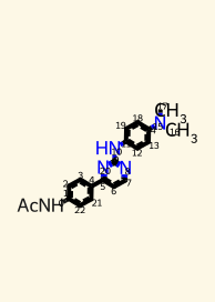 CC(=O)Nc1ccc(-c2ccnc(Nc3ccc(N(C)C)cc3)n2)cc1